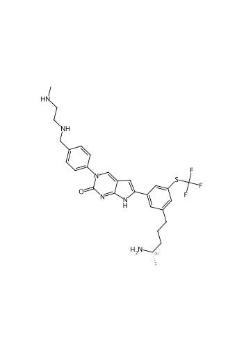 CNCCNCc1ccc(-n2cc3cc(-c4cc(CCC[C@H](C)N)cc(SC(F)(F)F)c4)[nH]c3nc2=O)cc1